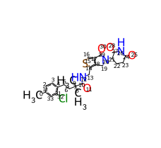 Cc1ccc(CCC(C)(C)C(=O)NCc2scc3c2CN([C@H]2CCC(=O)NC2=O)C3=O)c(Cl)c1